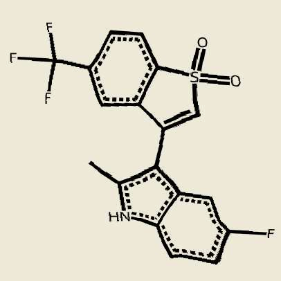 Cc1[nH]c2ccc(F)cc2c1C1=CS(=O)(=O)c2ccc(C(F)(F)F)cc21